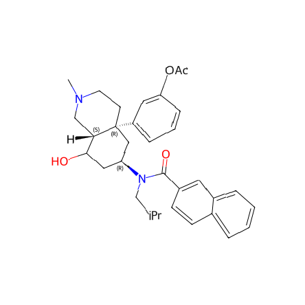 CC(=O)Oc1cccc([C@@]23CCN(C)C[C@H]2C(O)C[C@H](N(CC(C)C)C(=O)c2ccc4ccccc4c2)C3)c1